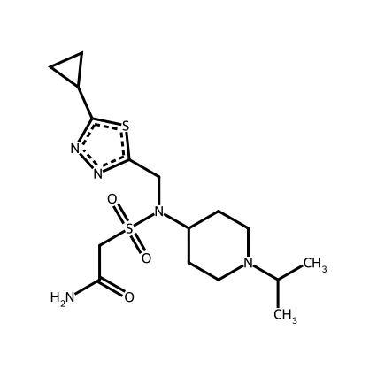 CC(C)N1CCC(N(Cc2nnc(C3CC3)s2)S(=O)(=O)CC(N)=O)CC1